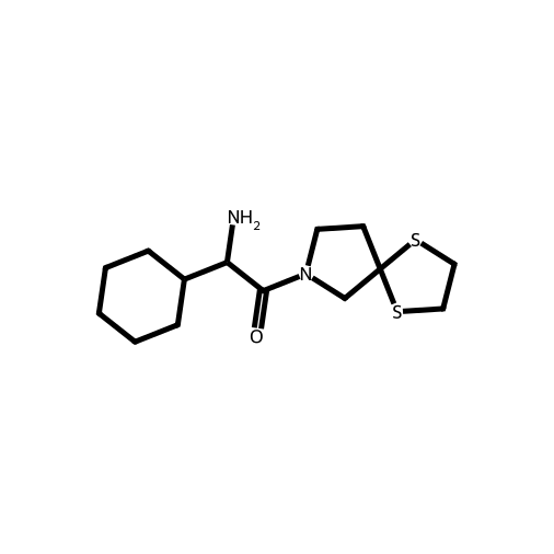 NC(C(=O)N1CCC2(C1)SCCS2)C1CCCCC1